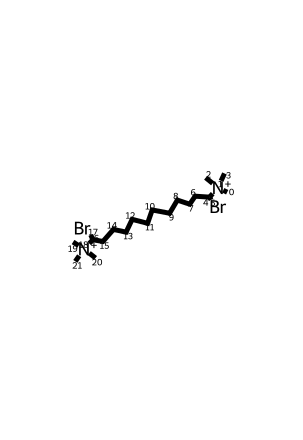 C[N+](C)(C)C(Br)CCCCCCCCCCC(Br)[N+](C)(C)C